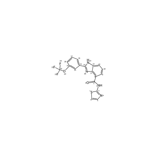 O=C(Nc1nccs1)c1cccc2[nH]c(-c3cccc(OC(F)(F)F)c3)nc12